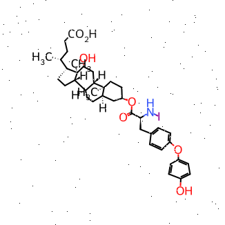 C[C@H](CCC(=O)O)[C@H]1CC[C@H]2[C@@H]3CC[C@@H]4C[C@H](OC(=O)[C@H](Cc5ccc(Oc6ccc(O)cc6)cc5)NI)CC[C@]4(C)[C@H]3C[C@H](O)[C@]12C